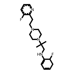 CC(C)(CNC1=CC=CCC1F)N1CCN(CCc2ncccc2F)CC1